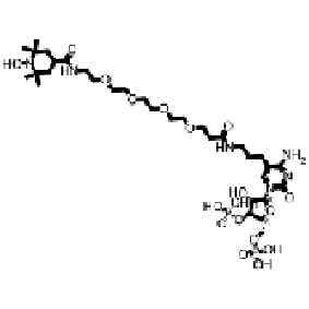 CC1(C)CC(C(=O)NCCOCCOCCOCCOCCC(=O)NCCCc2cn([C@@H]3O[C@H](COP(=O)(O)O)C(OP(=O)(O)O)[C@@H]3O)c(=O)nc2N)CC(C)(C)N1O